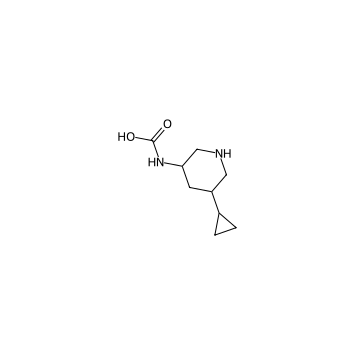 O=C(O)NC1CNCC(C2CC2)C1